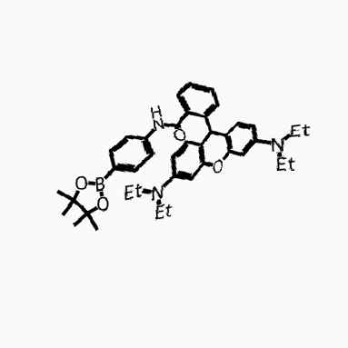 CCN(CC)c1ccc2c(c1)Oc1cc(N(CC)CC)ccc1C2c1ccccc1C(=O)Nc1ccc(B2OC(C)(C)C(C)(C)O2)cc1